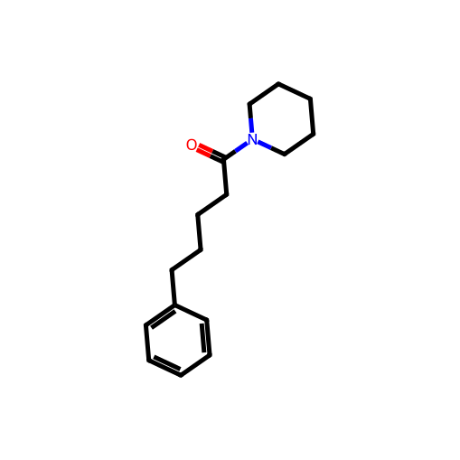 O=C(CCCCc1ccccc1)N1CCCCC1